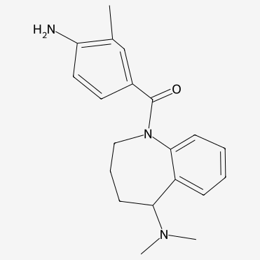 Cc1cc(C(=O)N2CCCC(N(C)C)c3ccccc32)ccc1N